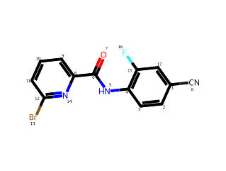 N#Cc1ccc(NC(=O)c2cccc(Br)n2)c(F)c1